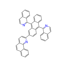 c1ccc2c(-c3c4ccccc4c(-c4nccc5ccccc45)c4cc(-c5ccc6ccc7ccccc7c6n5)ccc34)nccc2c1